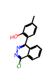 Cc1ccc(-c2nnc(Cl)c3ccccc23)c(O)c1